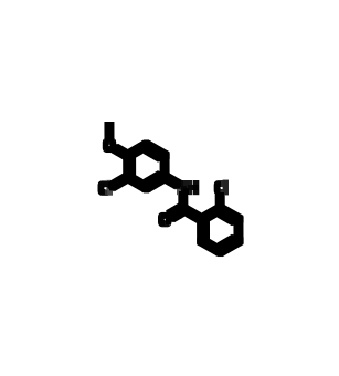 COc1ccc(NC(=O)c2ccccc2Cl)cc1Cl